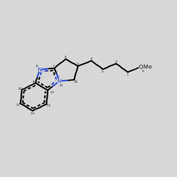 COCCCCC1Cc2nc3ccccc3n2C1